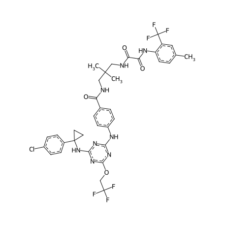 Cc1ccc(NC(=O)C(=O)NCC(C)(C)CNC(=O)c2ccc(Nc3nc(NC4(c5ccc(Cl)cc5)CC4)nc(OCC(F)(F)F)n3)cc2)c(C(F)(F)F)c1